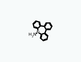 NN1c2ccccc2-c2ccccc2-c2ccccc21